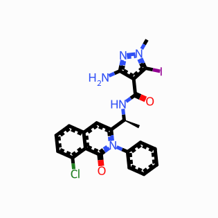 C[C@H](NC(=O)c1c(N)nn(C)c1I)c1cc2cccc(Cl)c2c(=O)n1-c1ccccc1